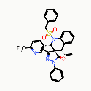 C=C[C@H]1c2ccccc2N(S(=O)(=O)Cc2ccccc2)[C@@H](c2ccc(C(F)(F)F)nc2)[C@]12C(=O)N(c1ccccc1)N=C2C